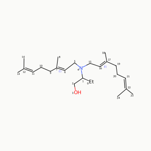 CCC(CO)N(C/C=C(\C)CCC=C(C)C)C/C=C(\C)CCC=C(C)C